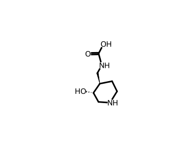 O=C(O)NC[C@H]1CCNC[C@@H]1O